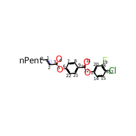 CCCCC/C=C/C(=O)Oc1ccc(C(=O)Oc2ccc(Cl)c(F)c2)cc1